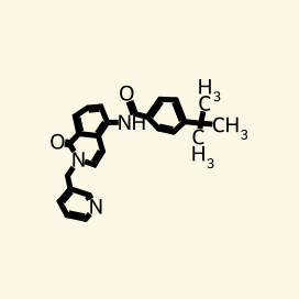 CC(C)(C)c1ccc(C(=O)Nc2cccc3c(=O)n(Cc4cccnc4)ccc23)cc1